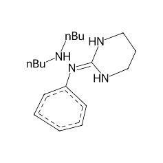 CCCCNCCCC.c1ccc(N=C2NCCCN2)cc1